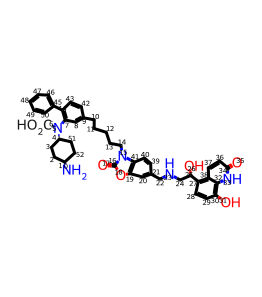 N[C@H]1CC[C@H](N(C(=O)O)c2cc(CCCCCn3c(=O)oc4cc(CNCC(O)c5ccc(O)c6[nH]c(=O)ccc56)ccc43)ccc2-c2ccccc2)CC1